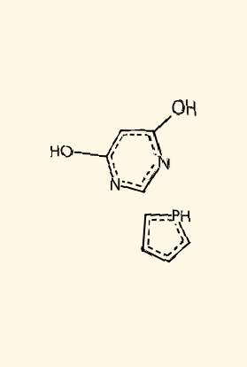 Oc1cc(O)ncn1.c1cc[pH]c1